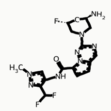 Cn1cc(NC(=O)c2ccc3cnc(N4C[C@H](N)C[C@@H](F)C4)nn23)c(C(F)F)n1